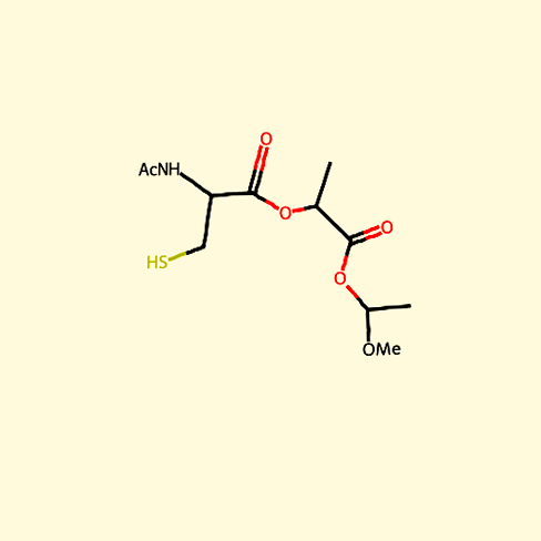 COC(C)OC(=O)C(C)OC(=O)C(CS)NC(C)=O